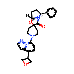 O=C1N2[C@@H](CC[C@H]2c2ccccc2)OC12CCN(c1ccc(C3COC3)c3ccnn13)CC2